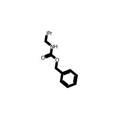 CC(C)CNC(=O)OCc1ccccc1